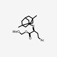 COCOC(=O)C(CCC(C)=O)=NC12CC3CC(C)(CC(C)(C3)C1)C2